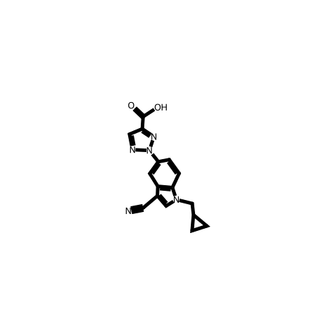 N#Cc1cn(CC2CC2)c2ccc(-n3ncc(C(=O)O)n3)cc12